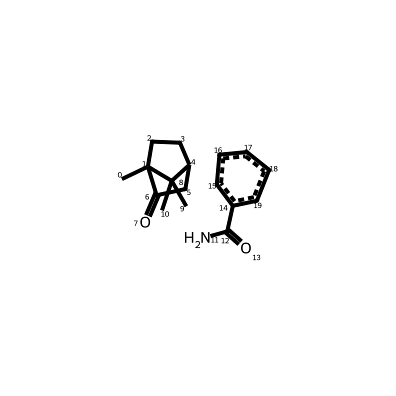 CC12CCC(CC1=O)C2(C)C.NC(=O)c1ccccc1